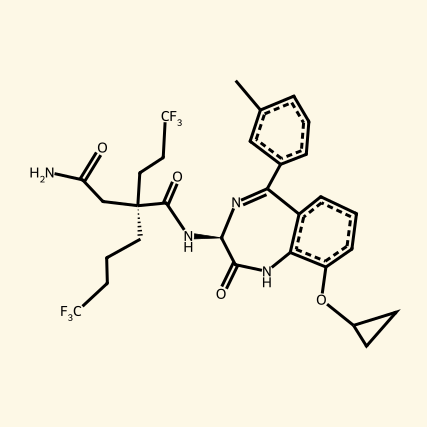 Cc1cccc(C2=N[C@H](NC(=O)[C@](CCCC(F)(F)F)(CCC(F)(F)F)CC(N)=O)C(=O)Nc3c(OC4CC4)cccc32)c1